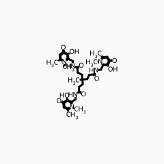 Cc1cc(=O)c(O)c(CNC(=O)CCC(C)(CCC(=O)NCc2c(O)c(=O)cc(C)n2C)CCC(=O)NCc2c(O)c(=O)cc(C)n2C)n1C